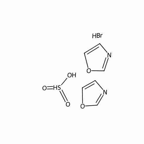 Br.O=[SH](=O)O.c1cocn1.c1cocn1